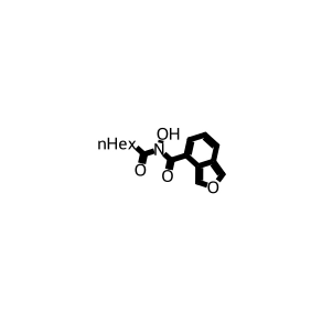 CCCCCCC(=O)N(O)C(=O)c1cccc2cocc12